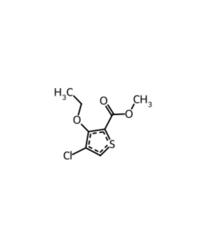 CCOc1c(Cl)csc1C(=O)OC